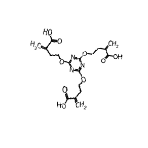 C=C(CCOc1nc(OCCC(=C)C(=O)O)nc(OCCC(=C)C(=O)O)n1)C(=O)O